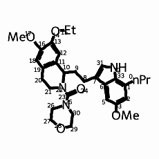 CCCc1cc(OC)cc2c(CCC3c4cc(OCC)c(OC)cc4CCN3C(=O)N3CCOCC3)c[nH]c12